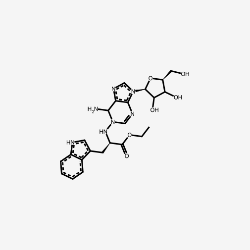 CCOC(=O)[C@@H](Cc1c[nH]c2ccccc12)NN1C=Nc2c(ncn2[C@H]2O[C@@H](CO)C(O)C2O)C1N